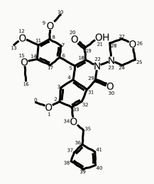 COc1cc2c(-c3cc(OC)c(OC)c(OC)c3)c(C(=O)O)n(N3CCOCC3)c(=O)c2cc1OCc1ccccc1